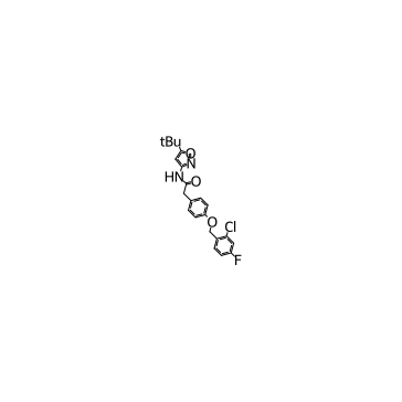 CC(C)(C)c1cc(NC(=O)Cc2ccc(OCc3ccc(F)cc3Cl)cc2)no1